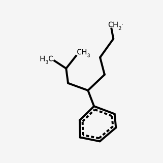 [CH2]CCCC(CC(C)C)c1ccccc1